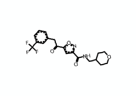 O=C(NCC1CCOCC1)c1cc(C(=O)Cc2cccc(C(F)(F)F)c2)on1